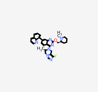 C[C@@H]1Cn2cnc(F)c2CN1c1nc(OC[C@@H]2CCCCN2C)nc2cc(-c3cccc4cccnc34)ccc12